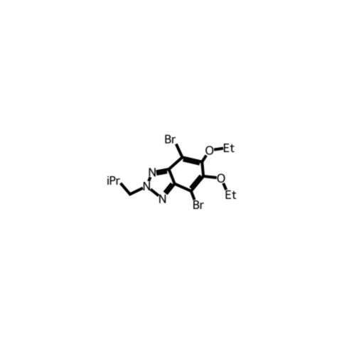 CCOc1c(OCC)c(Br)c2nn(CC(C)C)nc2c1Br